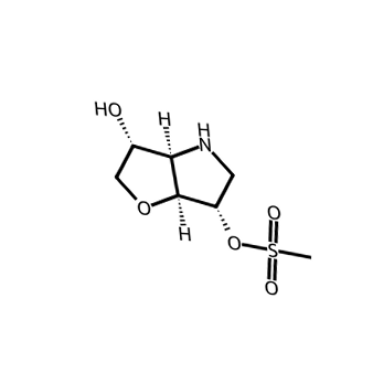 CS(=O)(=O)O[C@H]1CN[C@H]2[C@@H]1OC[C@@H]2O